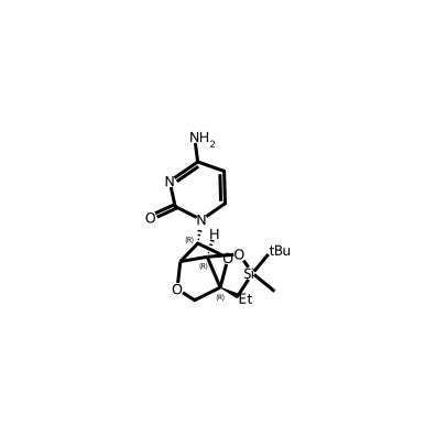 CC[C@]12COC([C@H](n3ccc(N)nc3=O)O1)[C@H]2O[Si](C)(C)C(C)(C)C